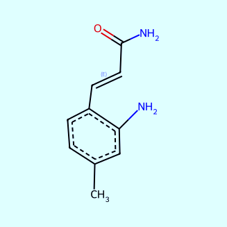 Cc1ccc(/C=C/C(N)=O)c(N)c1